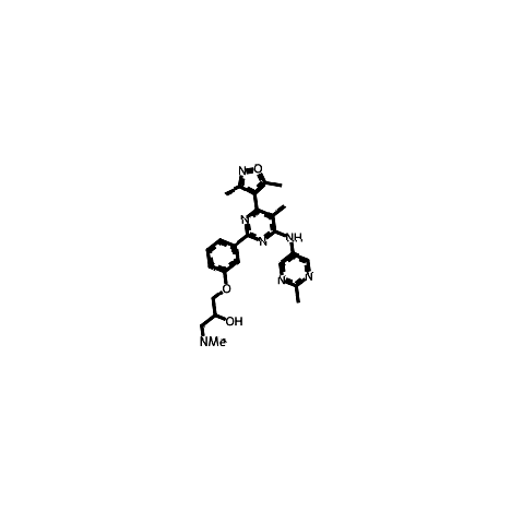 CNCC(O)COc1cccc(-c2nc(Nc3cnc(C)nc3)c(C)c(-c3c(C)noc3C)n2)c1